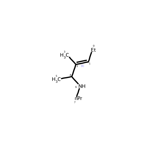 CC/C=C(\C)C(C)NCCC